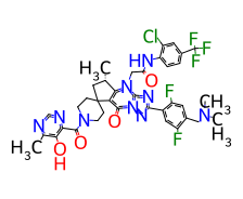 Cc1ncnc(C(=O)N2CCC3(CC2)C[C@H](C)c2c3c(=O)n3nc(-c4cc(F)c(CN(C)C)cc4F)nc3n2CC(=O)Nc2ccc(C(F)(F)F)cc2Cl)c1O